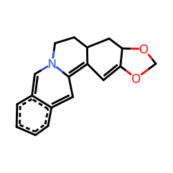 C1=C2OCOC2CC2CCN3C=c4ccccc4=CC3=C12